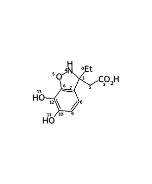 CCC1(CC(=O)O)NOc2c1ccc(O)c2O